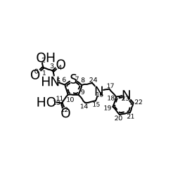 O=C(O)C(=O)Nc1sc2c(c1C(=O)O)CCN(Cc1ccccn1)C2